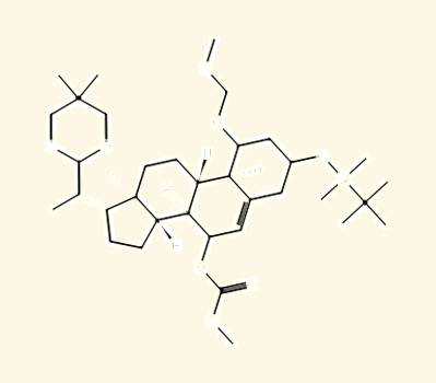 COCOC1CC(O[Si](C)(C)C(C)(C)C)CC2=CC(OC(=O)OC)[C@H]3[C@@H]4CC[C@H](C(C)C5OCC(C)(C)CO5)[C@@]4(C)CC[C@@H]3[C@]21C